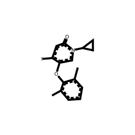 Cc1cccc(C)c1Oc1cn(C2CC2)c(=O)cc1I